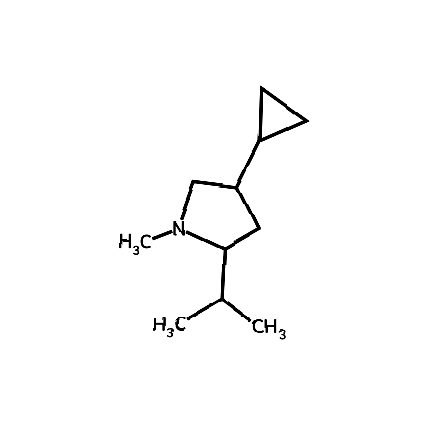 CC(C)C1CC(C2CC2)CN1C